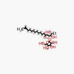 CC[C@@H](O)[C@@H](O)[C@H](COC1OC(CO)C(O)C(O)C1O)CC(=O)CCCCCCCCCCC1CC1C